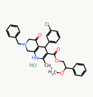 COC(COC(=O)C1=C(C)NC2=C(C(=O)CN(Cc3ccccc3)C2)C1c1cccc(Cl)c1)c1ccccc1.Cl